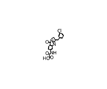 O=C(O)C(=O)Nc1ccc2c(=O)n3c(nc2c1)C(=Cc1cccc(Cl)c1)CC3